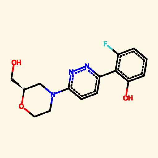 OC[C@@H]1CN(c2ccc(-c3c(O)cccc3F)nn2)CCO1